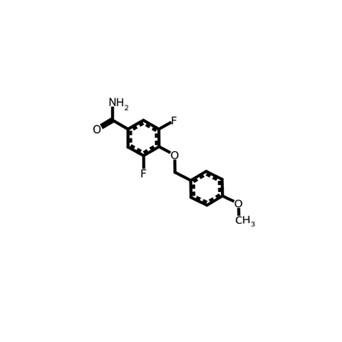 COc1ccc(COc2c(F)cc(C(N)=O)cc2F)cc1